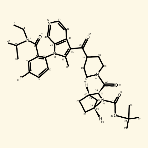 CCN(C(=O)c1cc(F)ccc1-n1c(C)c(C(=O)C2CCN(C(=O)[C@@H]3[C@H]4CC[C@H](C4)N3C(=O)OC(C)(C)C)CC2)c2ccncc21)C(C)C